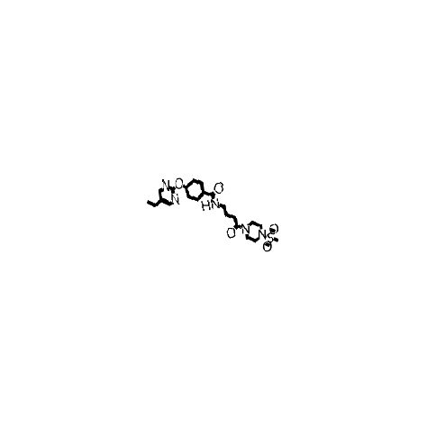 CCc1cnc(OC2CCC(C(=O)NCCCC(=O)N3CCN(S(C)(=O)=O)CC3)CC2)nc1